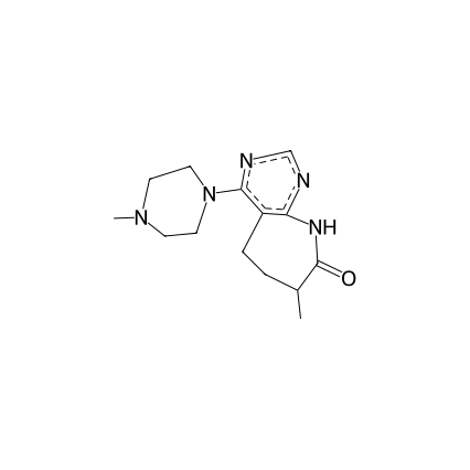 CC1CCc2c(ncnc2N2CCN(C)CC2)NC1=O